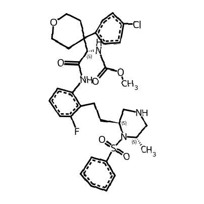 COC(=O)N[C@H](C(=O)Nc1cccc(F)c1CC[C@H]1CNC[C@H](C)N1S(=O)(=O)c1ccccc1)C1(c2ccc(Cl)cc2)CCOCC1